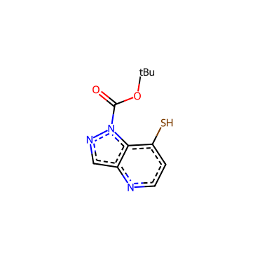 CC(C)(C)OC(=O)n1ncc2nccc(S)c21